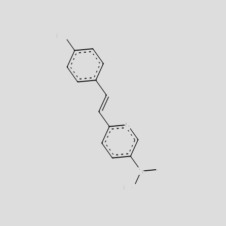 CN(C)c1ccc(/C=C/c2ccc(O)cc2)nc1